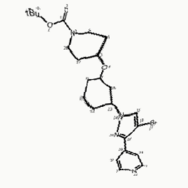 CC(C)(C)OC(=O)N1CCC(OC2CCCC(n3cc(Br)c(-c4ccncc4)n3)C2)CC1